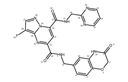 O=C1COc2ccc(CNC(=O)c3cc(C(=O)NCc4ncccn4)n4ncc(F)c4n3)cc2N1